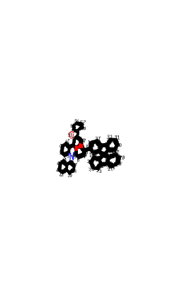 c1ccc(N(c2ccc(-c3ccc4c(c3)C3(c5ccccc5-c5ccccc53)c3ccccc3-4)cc2)c2cccc3ccccc23)c(-c2cccc3c2oc2ccccc23)c1